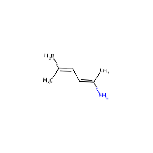 B/C(C)=C/C=C(\C)N